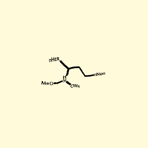 CCCCCCCCCCCC(CCCCCC)[SiH](OC)OC